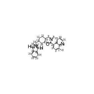 Cc1ccc(C(=O)N(C)CC2CCC(CN3[C@H]4CC[C@H]3c3ccccc34)CC2)c2cccnc12